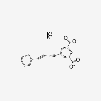 O=C([O-])c1cc(C#CC#Cc2ccccc2)cc(C(=O)[O-])c1.[K+].[K+]